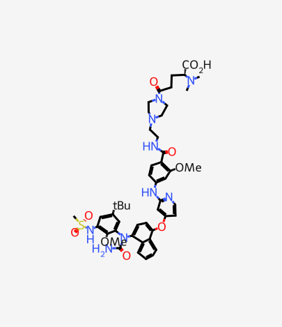 COc1cc(Nc2cc(Oc3ccc(N(C(N)=O)c4cc(C(C)(C)C)cc(NS(C)(=O)=O)c4OC)c4ccccc34)ccn2)ccc1C(=O)NCCN1CCN(C(=O)CC[C@@H](C(=O)O)N(C)C)CC1